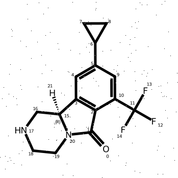 O=C1c2c(cc(C3CC3)cc2C(F)(F)F)[C@@H]2CNCCN12